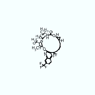 CC(=O)[C@@H]1[C@H](C)[C@@H]2CN1C(=O)[C@H](C(C)(C)C)NC(=O)O[C@@H]1C[C@H]1CCCCC(F)(F)c1cc3ccc(C(F)(F)F)cc3nc1O2